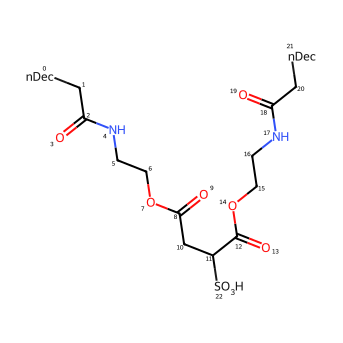 CCCCCCCCCCCC(=O)NCCOC(=O)CC(C(=O)OCCNC(=O)CCCCCCCCCCC)S(=O)(=O)O